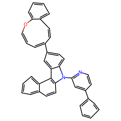 c1ccc(-c2ccnc(-n3c4ccc(-c5cccoc6ccccc6cc5)cc4c4c5ccccc5ccc43)c2)cc1